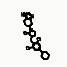 O=C1C(Cc2c(Cl)cc(C3=CCCCC3)cc2Cl)CCN1[C@@H]1CCc2[nH]cnc2C1